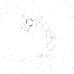 CCCCOC1CCC(C(F)(F)OC2CCC(C(F)(F)Oc3cc(F)c(OC(F)(F)F)c(F)c3)OC2)CC1